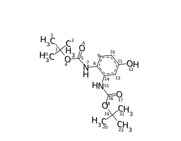 CC(C)(C)OC(=O)Nc1c[c]c(O)cc1NC(=O)OC(C)(C)C